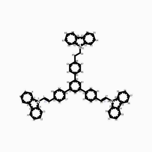 C(=C\n1c2ccccc2c2ccccc21)/c1ccc(-c2cc(-c3ccc(/C=C/n4c5ccccc5c5ccccc54)cc3)cc(-c3ccc(CCn4c5ccccc5c5ccccc54)cc3)c2)cc1